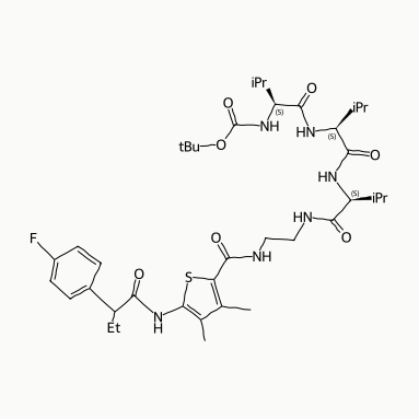 CCC(C(=O)Nc1sc(C(=O)NCCNC(=O)[C@@H](NC(=O)[C@@H](NC(=O)[C@@H](NC(=O)OC(C)(C)C)C(C)C)C(C)C)C(C)C)c(C)c1C)c1ccc(F)cc1